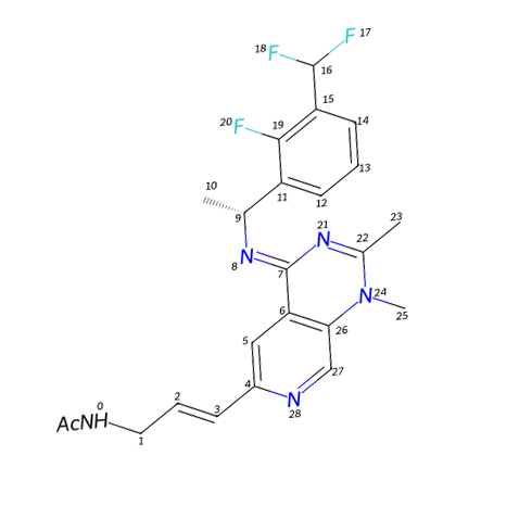 CC(=O)NCC=Cc1cc2/c(=N/[C@H](C)c3cccc(C(F)F)c3F)nc(C)n(C)c2cn1